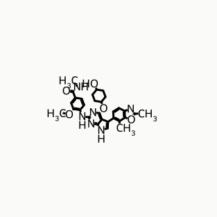 CNC(=O)c1ccc(Nc2nc(OC3CCC(O)CC3)c3c(-c4ccc5nc(C)oc5c4C)c[nH]c3n2)c(OC)c1